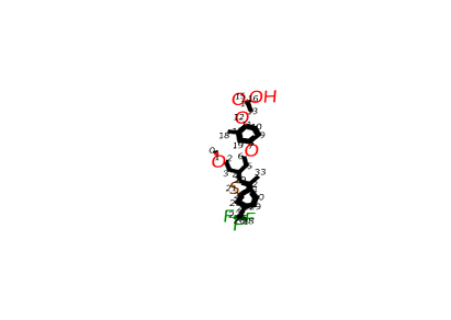 COCCC(CCOc1ccc(OCC(=O)O)c(C)c1)c1sc2cc(C(F)(F)F)ccc2c1C